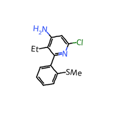 CCc1c(N)cc(Cl)nc1-c1ccccc1SC